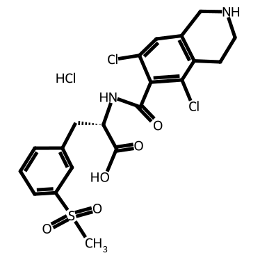 CS(=O)(=O)c1cccc(C[C@H](NC(=O)c2c(Cl)cc3c(c2Cl)CCNC3)C(=O)O)c1.Cl